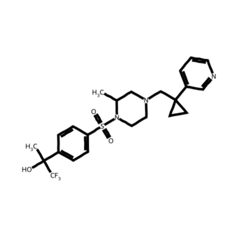 CC1CN(CC2(c3cccnc3)CC2)CCN1S(=O)(=O)c1ccc(C(C)(O)C(F)(F)F)cc1